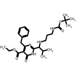 CCOC(=O)c1c(Cc2ccccc2)nc(C(NCCCNC(=O)OC(C)(C)C)C(C)C)[nH]c1=O